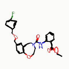 CCOC(=O)c1ccccc1NC(=O)N1CCOc2ccc(COCc3ccc(F)cc3)cc2C1